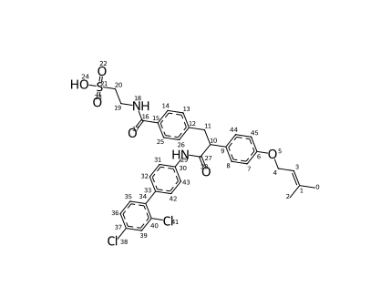 CC(C)=CCOc1ccc(C(Cc2ccc(C(=O)NCCS(=O)(=O)O)cc2)C(=O)Nc2ccc(-c3ccc(Cl)cc3Cl)cc2)cc1